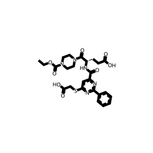 CCOC(=O)N1CCN(C(=O)[C@H](CCC(=O)O)NC(=O)c2cc(SCC(=O)O)nc(-c3ccccc3)n2)CC1